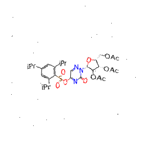 CC(=O)OC[C@H]1O[C@@H](n2ncc(OS(=O)(=O)c3c(C(C)C)cc(C(C)C)cc3C(C)C)nc2=O)C(OC(C)=O)[C@H]1OC(C)=O